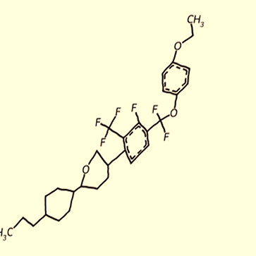 CCCC1CCC(C2CCC(c3ccc(C(F)(F)Oc4ccc(OCC)cc4)c(F)c3C(F)(F)F)CO2)CC1